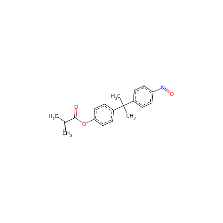 C=C(C)C(=O)Oc1ccc(C(C)(C)c2ccc(N=O)cc2)cc1